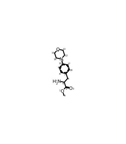 COC(=O)C(N)Cc1ccc(N2CCOCC2)cc1